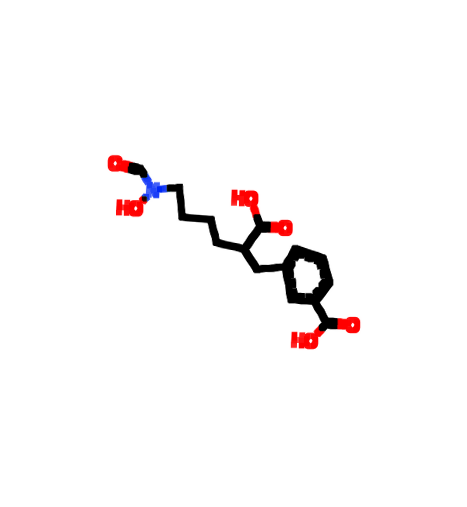 O=CN(O)CCCCC(Cc1cccc(C(=O)O)c1)C(=O)O